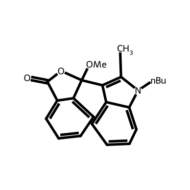 CCCCn1c(C)c(C2(OC)OC(=O)c3ccccc32)c2ccccc21